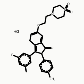 Cc1ccc(C2C(=O)C3=CC(OCCN4CCS(=O)(=O)CC4)=CCC3=C2c2cc(F)cc(F)c2)cc1.Cl